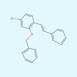 Clc1ccc(/C=C/c2ccccc2)c(OCc2ccccc2)c1